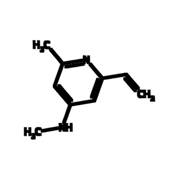 C=Cc1cc(NC)cc(C)n1